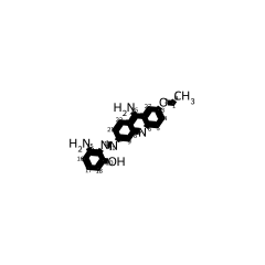 CCOc1ccc2nc3cc(N=Nc4c(N)cccc4O)ccc3c(N)c2c1